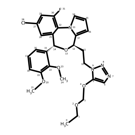 CCOCOc1cnnn1CC[C@H]1O[C@H](c2cccc(OC)c2OC)c2cc(Cl)cc(F)c2-n2cccc21